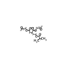 C=C(C)C(=O)OCCC(CC(=O)OCC1CO1)C(=O)OCC1CO1